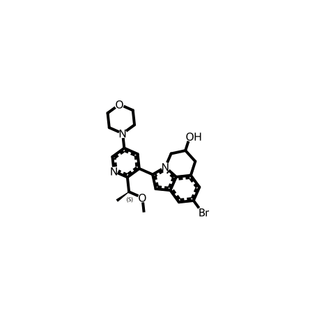 CO[C@@H](C)c1ncc(N2CCOCC2)cc1-c1cc2cc(Br)cc3c2n1CC(O)C3